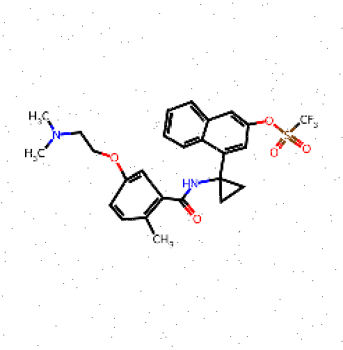 Cc1ccc(OCCN(C)C)cc1C(=O)NC1(c2cc(OS(=O)(=O)C(F)(F)F)cc3ccccc23)CC1